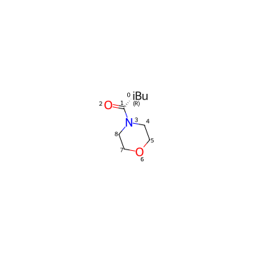 CC[C@@H](C)C(=O)N1CCOCC1